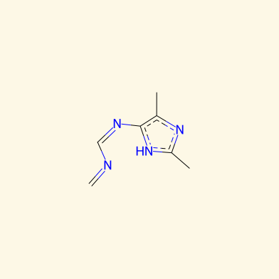 C=N/C=N\c1[nH]c(C)nc1C